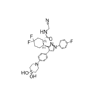 N#CCNC(=O)[C@H]1CC(F)(F)CC[C@@H]1c1nn(-c2ccc(F)cc2)cc1-c1ccc(N2CCS(O)(O)CC2)cc1